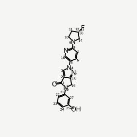 O=C1c2cn(-c3ccc(N4CC[C@@H](F)C4)nc3)nc2CN1c1cccc(O)c1